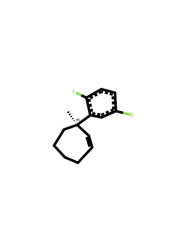 C[C@]1(c2cc(F)ccc2F)C=CCCCC1